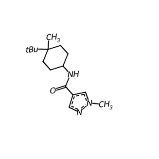 Cn1cc(C(=O)NC2CCC(C)(C(C)(C)C)CC2)cn1